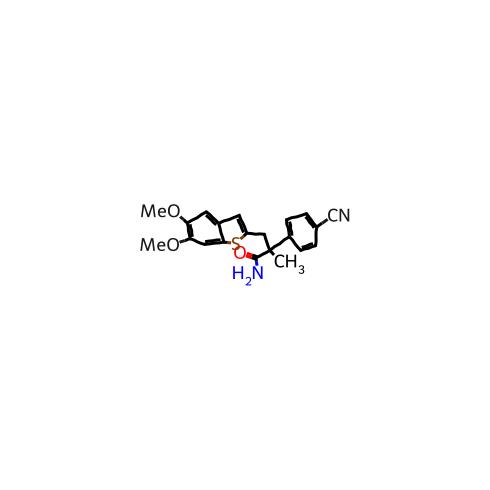 COc1cc2cc(CC(C)(C(N)=O)c3ccc(C#N)cc3)sc2cc1OC